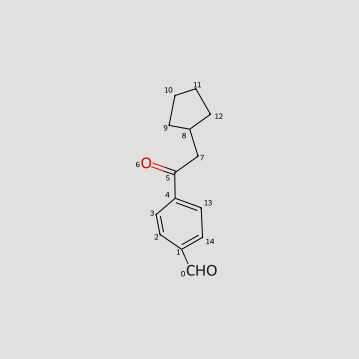 O=Cc1ccc(C(=O)CC2CCCC2)cc1